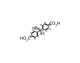 CCCCC(CC)(c1ccc(C(=O)O)cc1)c1ccc(C(=O)O)cc1